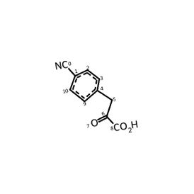 N#Cc1ccc(CC(=O)C(=O)O)cc1